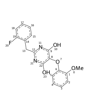 COc1ccccc1Oc1c(O)nc(Cc2ccccc2F)nc1O